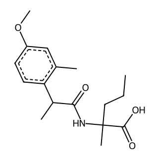 CCCC(C)(NC(=O)C(C)c1ccc(OC)cc1C)C(=O)O